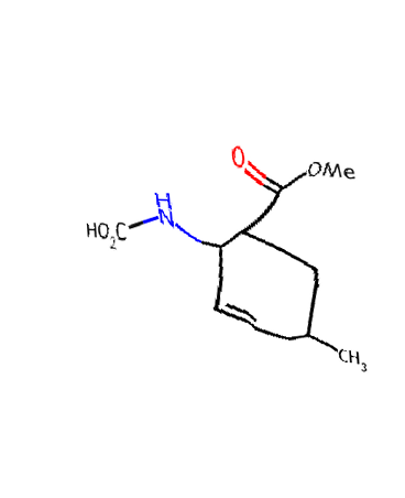 COC(=O)C1CC(C)C=CC1NC(=O)O